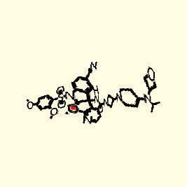 COc1ccc(S(=O)(=O)N2C(=O)C(NC(=O)N3CC(N4CCC(N(C(C)C)C5COC5)CC4)C3)(c3cccnc3OC)c3cc(C#N)ccc32)c(OC)c1